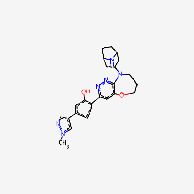 Cn1cc(-c2ccc(-c3cc4c(nn3)N(C3CC5CCC(C3)N5)CCCO4)c(O)c2)cn1